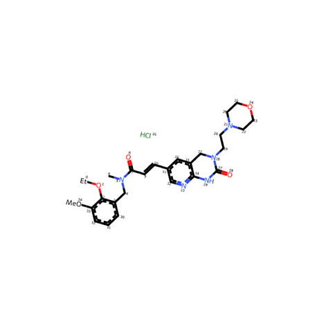 CCOc1c(CN(C)C(=O)/C=C/c2cnc3c(c2)CN(CCN2CCOCC2)C(=O)N3)cccc1OC.Cl